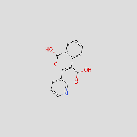 O=C(O)C(=Cc1cccnc1)c1ccccc1C(=O)O